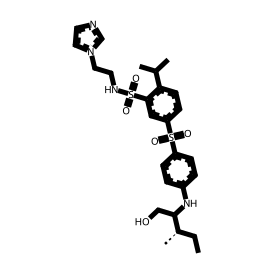 CC[C@H](C)C(CO)Nc1ccc(S(=O)(=O)c2ccc(C(C)C)c(S(=O)(=O)NCCn3ccnc3)c2)cc1